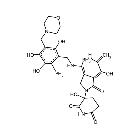 B/C(NCc1c(O)c(CN2CCOCC2)c(O)c(O)c1P)=C1/CN(C2(O)CCC(=O)NC2=O)C(=O)/C1=C(\O)C(=C)O